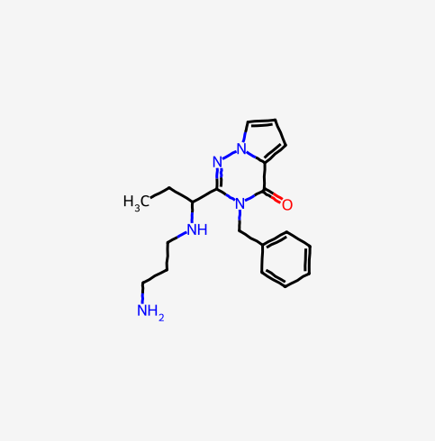 CCC(NCCCN)c1nn2cccc2c(=O)n1Cc1ccccc1